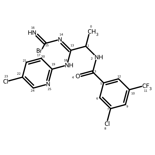 CC(NC(=O)c1cc(Cl)cc(C(F)(F)F)c1)/C(=N/C(=N)Br)Nc1ccc(Cl)cn1